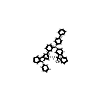 CC1(C)c2ccccc2-c2ccc(N(c3ccc(-c4ccccc4)cc3)c3cccc(-c4ccc5c(c4)c4ccccc4n5C4C=CC=CC4)c3)cc21